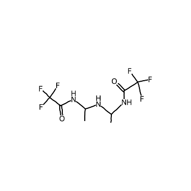 CC(NC(=O)C(F)(F)F)NC(C)NC(=O)C(F)(F)F